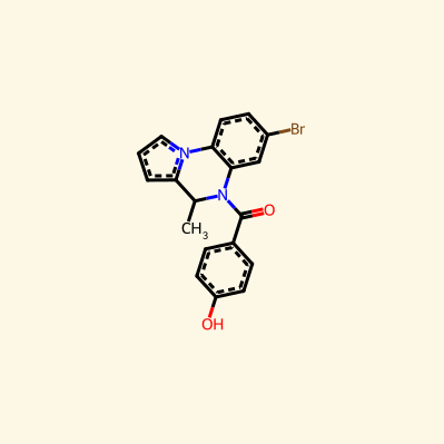 CC1c2cccn2-c2ccc(Br)cc2N1C(=O)c1ccc(O)cc1